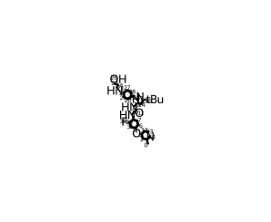 Cc1cc(Oc2ccc(NC(=O)Nc3cc(C(C)(C)C)nn3-c3ccc(NCCO)cc3)c(F)c2)ccn1